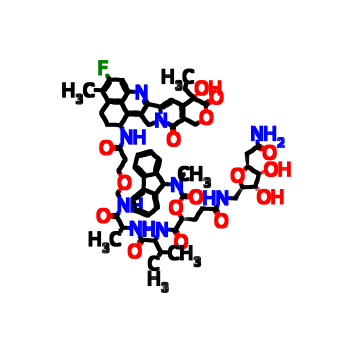 CC[C@@]1(O)C(=O)OCc2c1cc1n(c2=O)Cc2c-1nc1cc(F)c(C)c3c1c2[C@@H](NC(=O)CCOCNC(=O)[C@H](C)NC(=O)[C@@H](NC(=O)[C@H](CCC(=O)NC[C@H]1O[C@@H](CC(N)=O)[C@H](O)[C@@H]1O)OC(=O)N(C)C1c2ccccc2-c2ccccc21)C(C)C)CC3